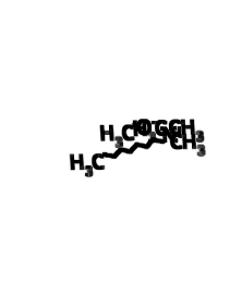 CCCCCCCCC[N+](C)(C)C.CC[O-]